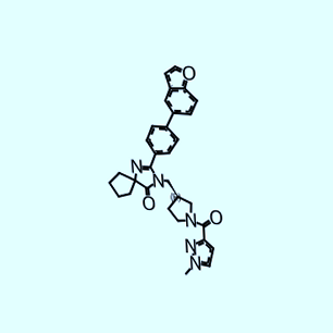 Cn1ccc(C(=O)N2CC[C@@H](CN3C(=O)C4(CCCC4)N=C3c3ccc(-c4ccc5occc5c4)cc3)C2)n1